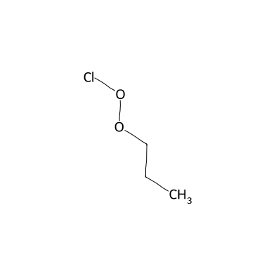 CCCOOCl